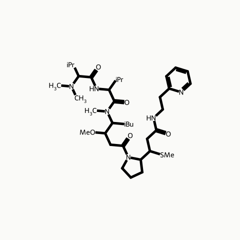 CCC(C)C(C(CC(=O)N1CCCC1C(CC(=O)NCCc1ccccn1)SC)OC)N(C)C(=O)C(NC(=O)C(C(C)C)N(C)C)C(C)C